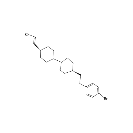 Cl/C=C/[C@H]1CC[C@H]([C@H]2CC[C@H](CCc3ccc(Br)cc3)CC2)CC1